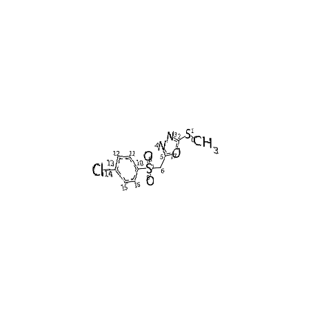 CSc1nnc(CS(=O)(=O)c2ccc(Cl)cc2)o1